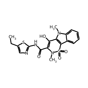 CCc1cnc(NC(=O)C2=C(O)c3c(c4ccccc4n3C)S(=O)(=O)N2C)s1